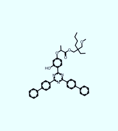 CCCCC(CC)(COC)COC(=O)C(C)Oc1ccc(-c2nc(-c3ccc(-c4ccccc4)cc3)nc(-c3ccc(-c4ccccc4)cc3)n2)c(O)c1